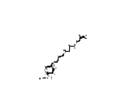 O=C(I)COCCCOCCCOc1ccc(NI)nc1